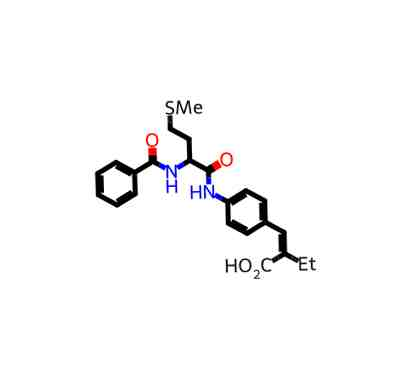 CCC(=Cc1ccc(NC(=O)C(CCSC)NC(=O)c2ccccc2)cc1)C(=O)O